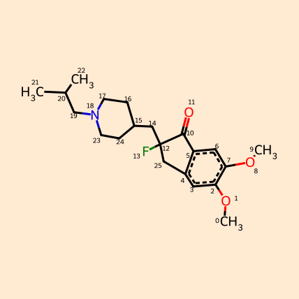 COc1cc2c(cc1OC)C(=O)C(F)(CC1CCN(CC(C)C)CC1)C2